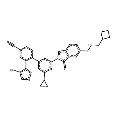 Cn1cnnc1-c1cc(C#N)ccc1-c1cc(C2CC2)nc(-n2cc3ccc(CNCC4CCC4)cn3c2=O)c1